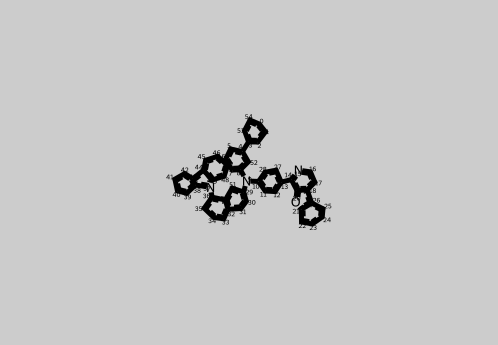 c1ccc(-c2cccc(N(c3ccc(-c4nccc5c4oc4ccccc45)cc3)c3ccc4cccc(-n5c6ccccc6c6ccccc65)c4c3)c2)cc1